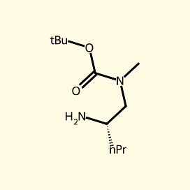 CCC[C@H](N)CN(C)C(=O)OC(C)(C)C